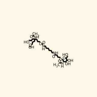 CC(=O)NC1C(OCCCC(=O)NCCCCCCNC(=O)OCCCC(CCCO)(CCCOO)NC(C)=O)OC(CO)C(O)C1O